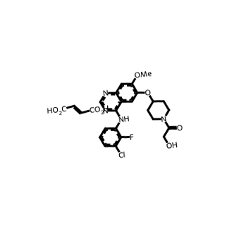 COc1cc2ncnc(Nc3cccc(Cl)c3F)c2cc1OC1CCN(C(=O)CO)CC1.O=C(O)C=CC(=O)O